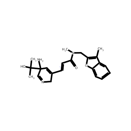 Cc1c(CN(C)C(=O)/C=C/C2=CC(N)(C(C)(C)O)C=NC2)oc2ccccc12